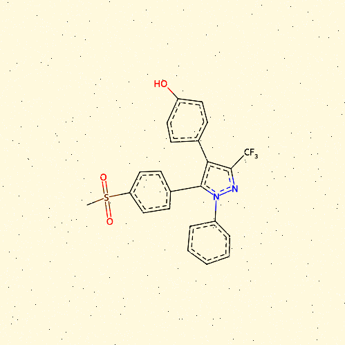 CS(=O)(=O)c1ccc(-c2c(-c3ccc(O)cc3)c(C(F)(F)F)nn2-c2ccccc2)cc1